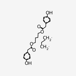 O=C(Cc1ccc(O)cc1)OCCCCOC(=O)Cc1ccc(O)cc1.[CH2]CC[CH2]